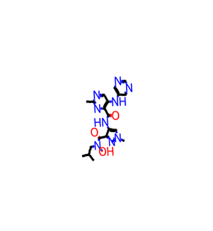 Cc1ncc(Nc2cncnc2)c(C(=O)Nc2cn(C)nc2C(=O)N(O)CC(C)C)n1